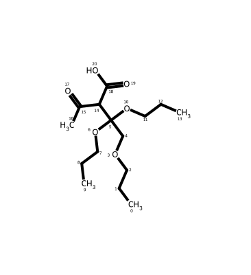 CCCOCC(OCCC)(OCCC)C(C(C)=O)C(=O)O